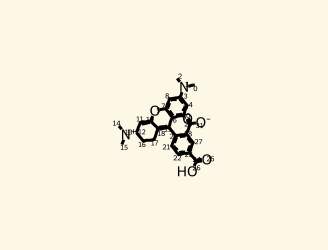 CN(C)c1ccc2c(c1)OC1=CC(=[N+](C)C)CCC1=C2c1ccc(C(=O)O)cc1C(=O)[O-]